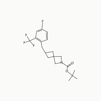 CC(C)(C)OC(=O)N1CC2(CC(Cc3ccc(F)cc3C(F)(F)F)C2)C1